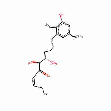 CC(=O)c1c(O)cc(C)cc1/C=C/C[C@H](O)[C@H](O)C(=O)/C=C\CC(C)C